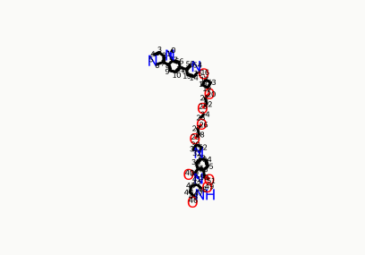 Cn1c2ccncc2c2ccc(-c3ccc(O[C@H]4C[C@H](OCCOCCOCCOC5CN(c6ccc7c(c6)C(=O)N(C6CCC(=O)NC6=O)C7=O)C5)C4)nc3)cc21